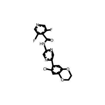 O=C(Nc1cnc(-c2cc3c(cc2Cl)OCCO3)cn1)c1c(F)cncc1F